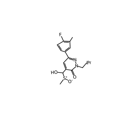 Cc1cc(-c2cc(C(O)[S+](C)[O-])c(=O)n(CC(C)C)n2)ccc1F